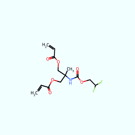 C=CC(=O)OCC(C)(COC(=O)C=C)NC(=O)OCC(F)F